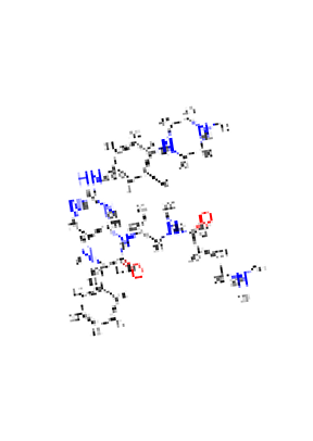 Cc1cc(Nc2ncc3nc(-c4ccccc4)c(=O)n([C@H]4CCN(C(=O)/C=C/CN(C)C)C4)c3n2)ccc1N1CCN(C)CC1